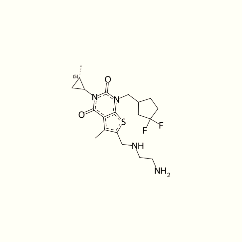 Cc1c(CNCCN)sc2c1c(=O)n(C1C[C@@H]1C)c(=O)n2CC1CCC(F)(F)C1